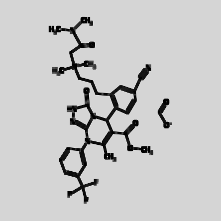 COC(=O)C1=C(C)N(c2cccc(C(F)(F)F)c2)c2n[nH]c(=O)n2C1c1ccc(C#N)cc1CCC[N+](C)(C)CC(=O)N(C)C.O=C[O-]